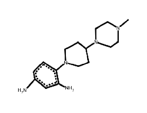 CN1CCN(C2CCN(c3ccc(N)cc3N)CC2)CC1